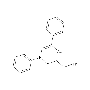 CC(=O)/C(=C\N(CCCC(C)C)c1ccccc1)c1ccccc1